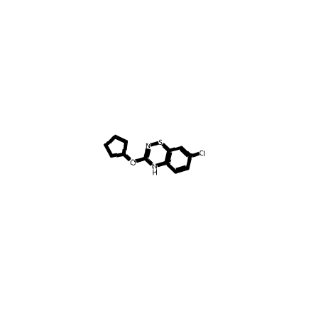 Clc1ccc2c(c1)SN=C(OC1CCCC1)N2